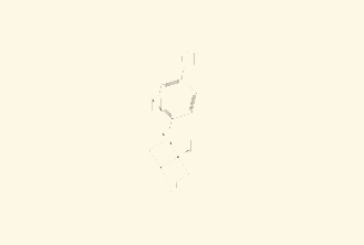 Cc1ccc(N2CC3OC[C@H]32)nc1